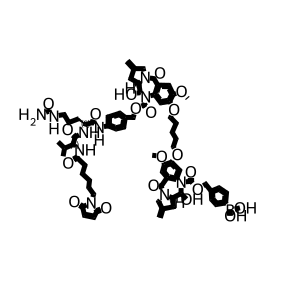 C=C1C[C@H]2C(O)N(C(=O)OCc3ccc(NC(=O)[C@H](CCCNC(N)=O)NC(=O)[C@@H](NC(=O)CCCCCN4C(=O)C=CC4=O)C(C)C)cc3)c3cc(OCCCCCOc4cc5c(cc4OC)C(=O)N4CC(=C)C[C@H]4C(O)N5C(=O)OCc4ccc(B(O)O)cc4)c(OC)cc3C(=O)N2C1